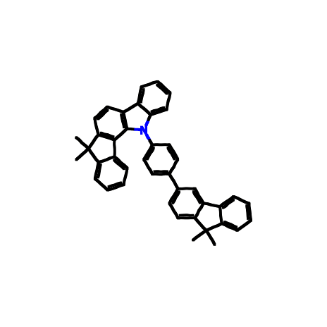 CC1(C)c2ccccc2-c2cc(-c3ccc(-n4c5ccccc5c5ccc6c(c54)-c4ccccc4C6(C)C)cc3)ccc21